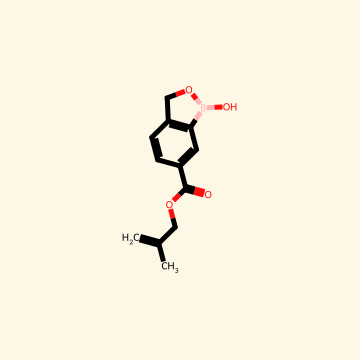 C=C(C)COC(=O)c1ccc2c(c1)B(O)OC2